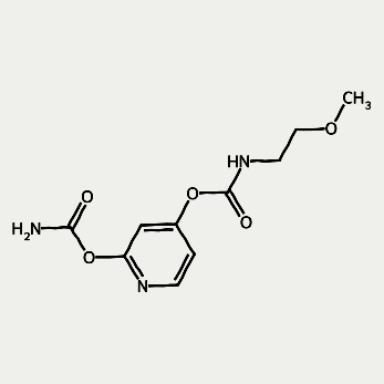 COCCNC(=O)Oc1ccnc(OC(N)=O)c1